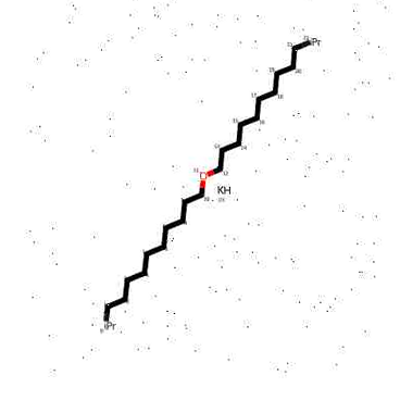 CC(C)CCCCCCCCCCOCCCCCCCCCCC(C)C.[KH]